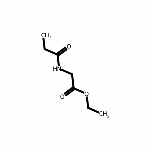 CCOC(=O)CNC(=O)CC